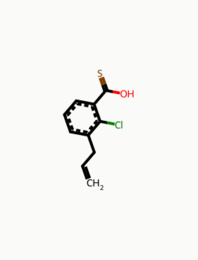 C=CCc1cccc(C(O)=S)c1Cl